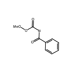 COOC(=O)[N]C(=O)c1ccccc1